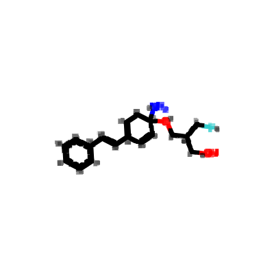 NC1(OCC(CO)CF)C=CC(C=Cc2ccccc2)=CC1